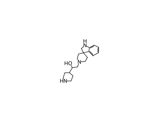 OC(CN1CCC2(CC1)CNc1ccccc12)C1CCNCC1